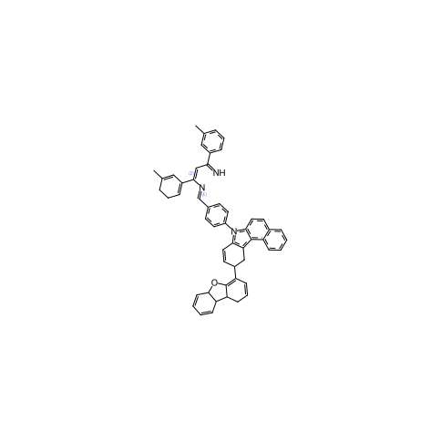 CC1=CC(C(=C/C(=N)c2cccc(C)c2)/N=C/c2ccc(-n3c4c(c5c6ccccc6ccc53)CC(C3=C5OC6C=CC=CC6C5CC=C3)C=C4)cc2)=CCC1